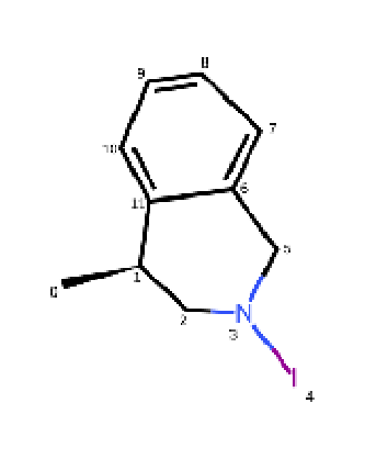 C[C@@H]1CN(I)Cc2ccccc21